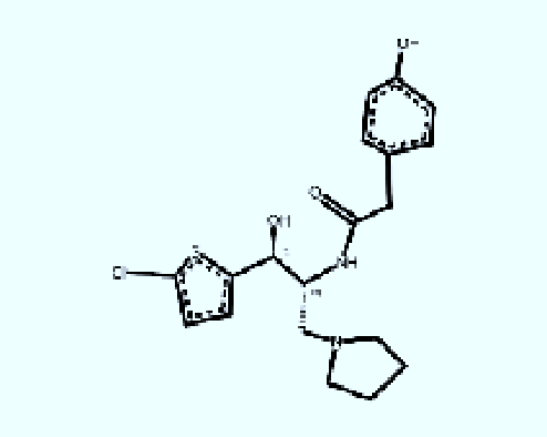 O=C(Cc1ccc(O)cc1)N[C@H](CN1CCCC1)[C@H](O)c1ccc(Cl)s1